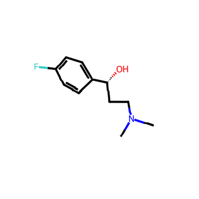 CN(C)CC[C@@H](O)c1ccc(F)cc1